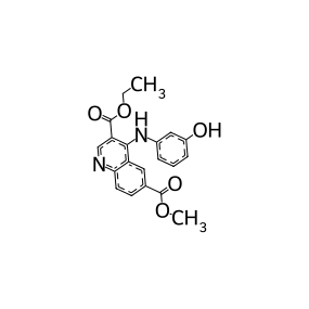 CCOC(=O)c1cnc2ccc(C(=O)OC)cc2c1Nc1cccc(O)c1